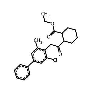 CCOC(=O)C1CCCCC1C(=O)Cc1c(C)cc(-c2ccccc2)cc1Cl